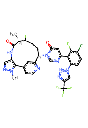 C[C@H]1C(=O)Nc2cnn(C)c2-c2ccnc(c2)[C@@H](n2cnc(-c3c(-n4cc(C(F)(F)F)nn4)ccc(Cl)c3F)cc2=O)CCC1F